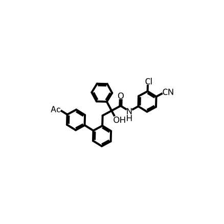 CC(=O)c1ccc(-c2ccccc2CC(O)(C(=O)Nc2ccc(C#N)c(Cl)c2)c2ccccc2)cc1